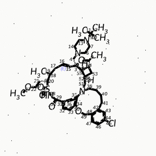 CCO[C@]1(CN2CCN(C(C)(C)C)CC2)/C=C/C[C@H](C)[C@@H](CCOC)S(=O)(=O)NC(=O)c2ccc3c(c2)N(CCCCc2cc(Cl)ccc2CO3)C[C@@H]2CC[C@H]21